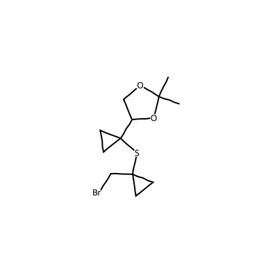 CC1(C)OCC(C2(SC3(CBr)CC3)CC2)O1